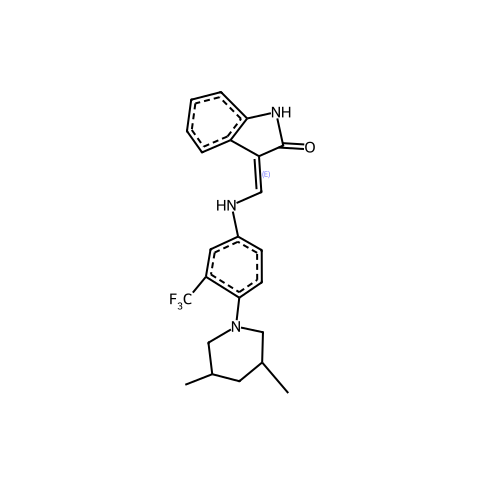 CC1CC(C)CN(c2ccc(N/C=C3/C(=O)Nc4ccccc43)cc2C(F)(F)F)C1